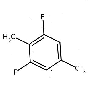 Cc1c(F)cc(C(F)(F)F)cc1F